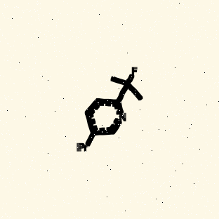 CC(C)c1ccc(C(C)(C)F)nc1